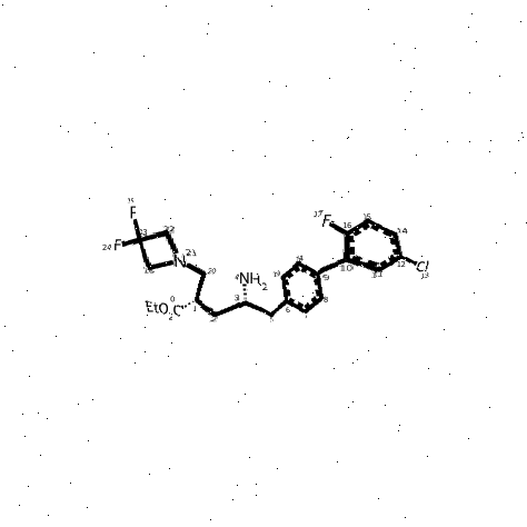 CCOC(=O)[C@@H](C[C@H](N)Cc1ccc(-c2cc(Cl)ccc2F)cc1)CN1CC(F)(F)C1